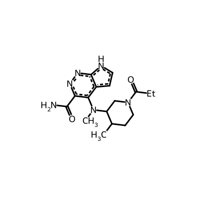 CCC(=O)N1CCC(C)C(N(C)c2c(C(N)=O)nnc3[nH]ccc23)C1